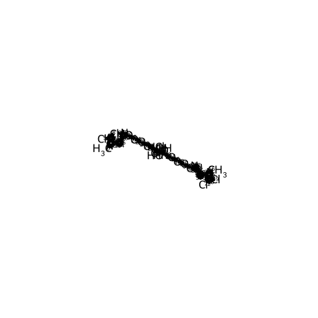 CN1Cc2c(Cl)cc(Cl)cc2[C@H](c2cccc(-c3cc(OCCOCCOCCOCCNC(=O)[C@H](O)[C@@H](O)C(=O)NCCOCCOCCOCCOc4cc(-c5cccc([C@@H]6CN(C)Cc7c(Cl)cc(Cl)cc76)c5)ncn4)ncn3)c2)C1.Cl